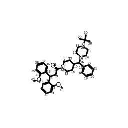 COc1ccccc1C(CC(=O)N1CCC(C(c2ccccc2)N2CCN(C(C)(C)C)CC2)CC1)c1ccccc1OC